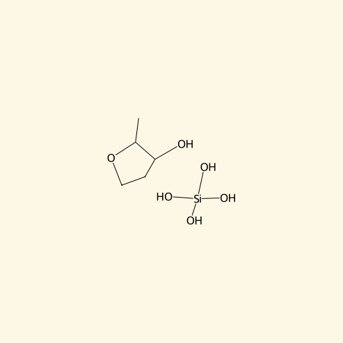 CC1OCCC1O.O[Si](O)(O)O